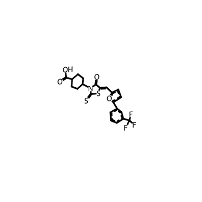 O=C(O)C1CCC(N2C(=O)C(=Cc3ccc(-c4cccc(C(F)(F)F)c4)o3)SC2=S)CC1